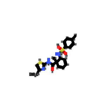 [2H]C1(C(=O)Nc2nc(C(=O)OCC)cs2)C=CC=CC1NS(=O)(=O)c1ccc(C)cc1